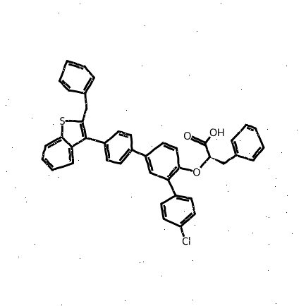 O=C(O)[C@@H](Cc1ccccc1)Oc1ccc(-c2ccc(-c3c(Cc4ccccc4)sc4ccccc34)cc2)cc1-c1ccc(Cl)cc1